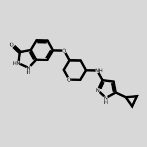 O=c1[nH][nH]c2cc(OC3COCC(Nc4cc(C5CC5)[nH]n4)C3)ccc12